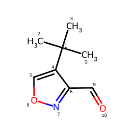 CC(C)(C)c1conc1C=O